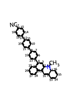 CN1c2cc(-c3ccc(-c4ccc(-c5ccc(C#N)cc5)cc4)cc3)c3ccccc3c2C=C2C=CC=CC21